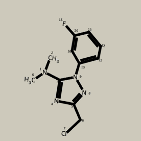 CN(C)c1nc(CCl)nn1-c1cccc(F)c1